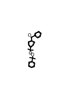 CC(C)(OOC(C)(C)c1ccc(C(=O)c2ccccc2)cc1)c1ccccc1